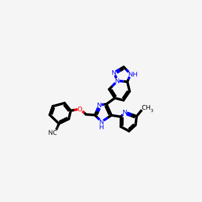 Cc1cccc(-c2[nH]c(COc3cccc(C#N)c3)nc2C2=CN3N=CNC3C=C2)n1